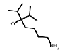 CC(C)C([O])(CCCCN)C(C)C